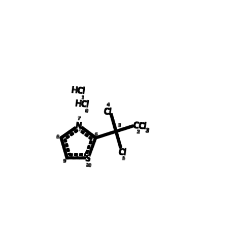 Cl.Cl.ClC(Cl)(Cl)C(Cl)(Cl)c1nccs1